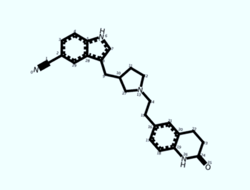 N#Cc1ccc2[nH]cc(CC3CCN(CCc4ccc5c(c4)CCC(=O)N5)C3)c2c1